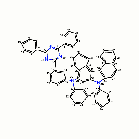 c1ccc(-c2nc(-c3ccccc3)nc(-c3cccc(-n4c5ccccc5c5c4c4ccccc4c4c6c7ccccc7ccc6n(-c6ccccc6)c45)c3)n2)cc1